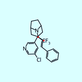 FC(F)(F)CN1C2CCC1CC(/C=C/c1ccccc1)(c1cncc(Cl)c1)C2